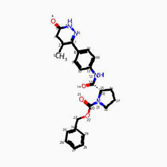 CC1CC(=O)NN=C1c1ccc(NC(=O)[C@@H]2CCCN2C(=O)OCc2ccccc2)cc1